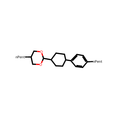 CCCCCc1ccc(C2CCC(C3OCC(CCCCC)CO3)CC2)cc1